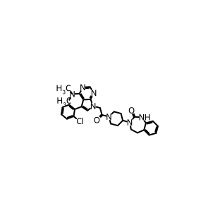 CN(C)c1ncnc2c1c(-c1ccccc1Cl)cn2CC(=O)N1CCC(N2CCc3ccccc3NC2=O)CC1